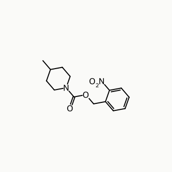 CC1CCN(C(=O)OCc2ccccc2[N+](=O)[O-])CC1